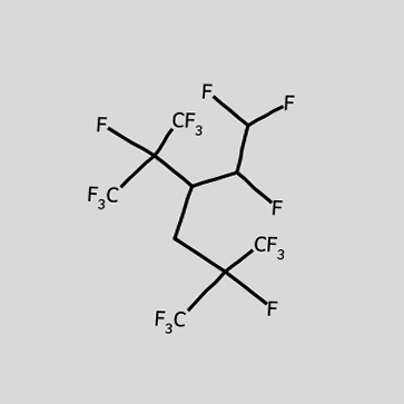 FC(F)C(F)C(CC(F)(C(F)(F)F)C(F)(F)F)C(F)(C(F)(F)F)C(F)(F)F